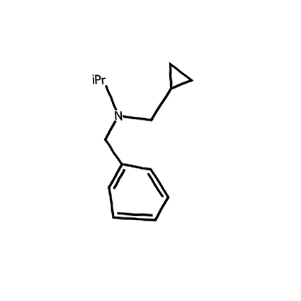 CC(C)N(Cc1ccccc1)CC1CC1